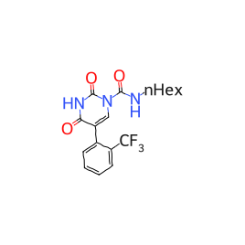 CCCCCCNC(=O)n1cc(-c2ccccc2C(F)(F)F)c(=O)[nH]c1=O